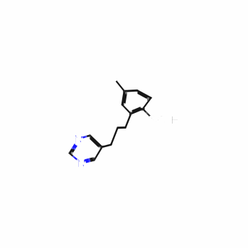 Cc1ccc(S(=O)(=O)O)c(CCCc2cncnc2)c1